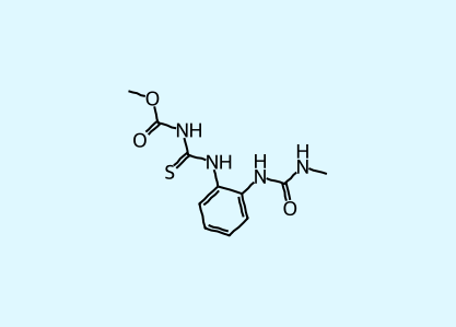 CNC(=O)Nc1ccccc1NC(=S)NC(=O)OC